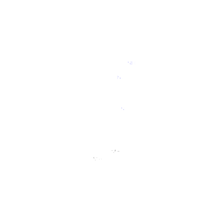 COc1cccc(/C=C/CN2CCc3nc(N)sc3CC2)c1OC